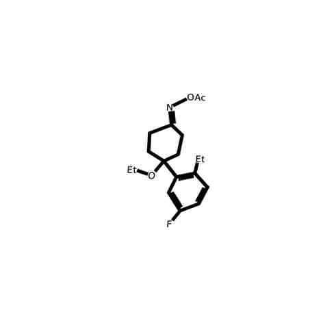 CCOC1(c2cc(F)ccc2CC)CCC(=NOC(C)=O)CC1